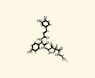 CC(C)C(NC(=O)C(NC(=O)/C=C/c1ccc(Cl)c(Cl)c1)c1ccc(Cl)cc1)C(=O)C(F)(F)C(=O)NCC(F)(F)F